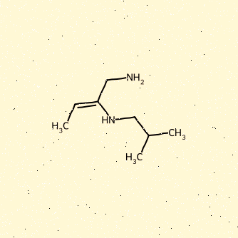 C/C=C(/CN)NCC(C)C